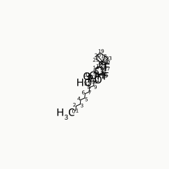 CCCCCCCCCCC(Oc1ccc(C23CC4CC(CC(C4)C2)C3)c(F)c1F)P(=O)(O)O